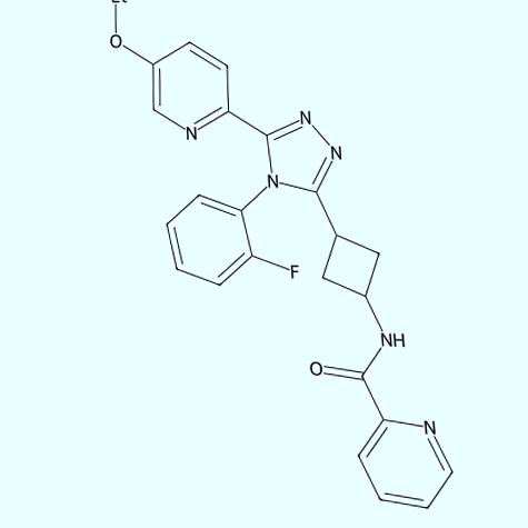 CCOc1ccc(-c2nnc(C3CC(NC(=O)c4ccccn4)C3)n2-c2ccccc2F)nc1